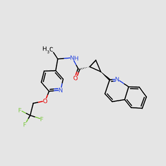 CC(NC(=O)[C@@H]1C[C@H]1c1ccc2ccccc2n1)c1ccc(OCC(F)(F)F)nc1